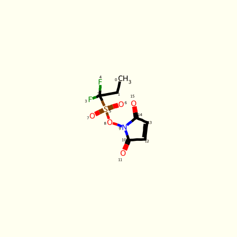 CCC(F)(F)S(=O)(=O)ON1C(=O)C=CC1=O